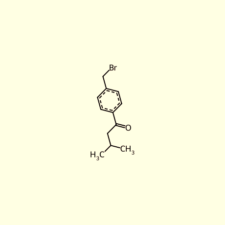 CC(C)CC(=O)c1ccc(CBr)cc1